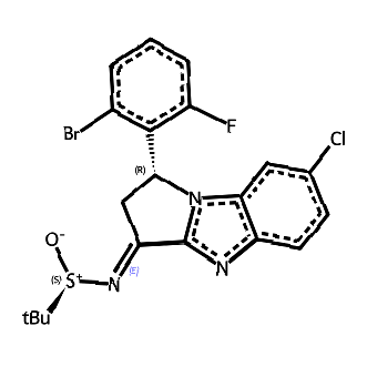 CC(C)(C)[S@@+]([O-])/N=C1\C[C@H](c2c(F)cccc2Br)n2c1nc1ccc(Cl)cc12